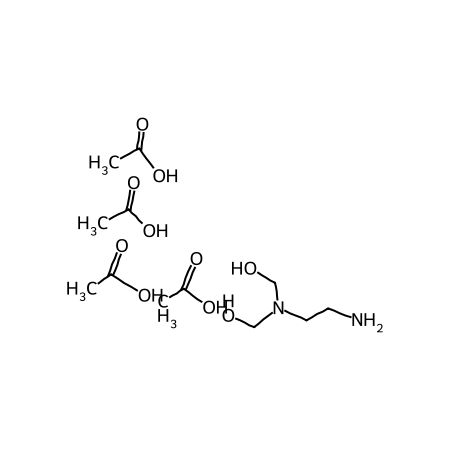 CC(=O)O.CC(=O)O.CC(=O)O.CC(=O)O.NCCN(CO)CO